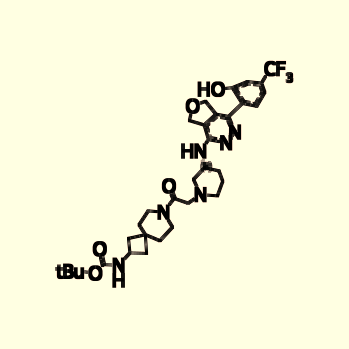 CC(C)(C)OC(=O)NC1CC2(CCN(C(=O)CN3CCC[C@@H](Nc4nnc(-c5ccc(C(F)(F)F)cc5O)c5c4COC5)C3)CC2)C1